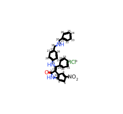 Cl.O=C1Nc2ccc([N+](=O)[O-])cc2C1=C(Nc1ccc(CNCc2ccccc2)cc1)c1ccccc1